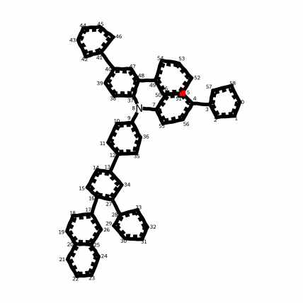 c1ccc(-c2ccc(N(c3ccc(-c4ccc(-c5ccc6ccccc6c5)c(-c5ccccc5)c4)cc3)c3ccc(-c4ccccc4)cc3-c3ccccc3)cc2)cc1